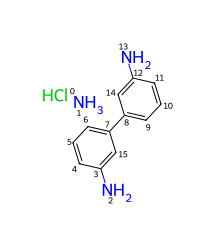 Cl.N.Nc1cccc(-c2cccc(N)c2)c1